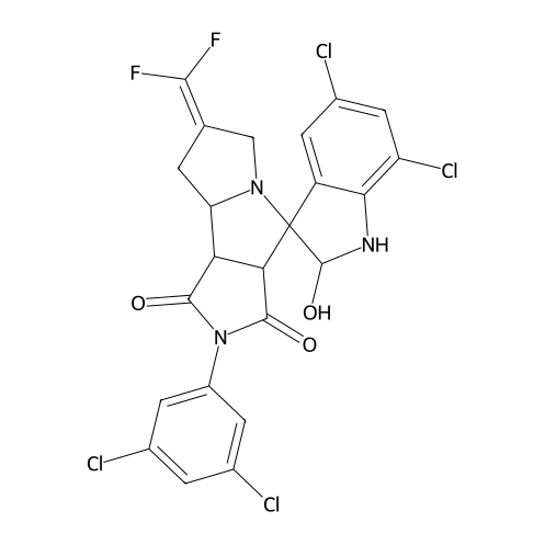 O=C1C2C3CC(=C(F)F)CN3C3(c4cc(Cl)cc(Cl)c4NC3O)C2C(=O)N1c1cc(Cl)cc(Cl)c1